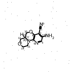 N#Cc1c(N)cnc2c1OC[C@H]1COCCN21